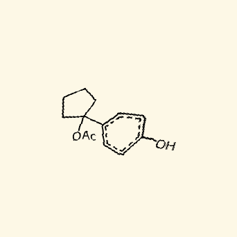 CC(=O)OC1(c2ccc(O)cc2)CCCC1